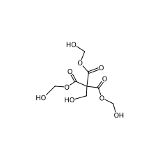 O=C(OCO)C(CO)(C(=O)OCO)C(=O)OCO